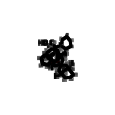 O=C(O)CN1CCCC[C@H]1Cc1nc2ccccc2n1[C@H]1C[C@H]2CCC[C@@H](C1)N2[C@@H]1C[C@@H]2CCCC[C@@H](C2)C1